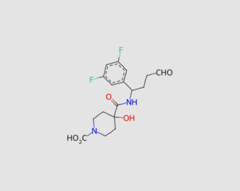 O=CCCC(NC(=O)C1(O)CCN(C(=O)O)CC1)c1cc(F)cc(F)c1